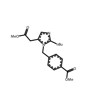 CCCCc1ncc(CC(=O)OC)n1Cc1ccc(C(=O)OC)cc1